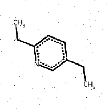 C[CH]c1ccc(CC)cn1